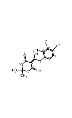 CC1(C)OC(=O)C(=C(O)Cc2ccc(F)c(F)c2F)C(=O)O1